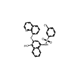 O=S(=O)(Nc1cc(Sc2cccc3cccnc23)c(O)c2ccccc12)c1cccc(Cl)c1